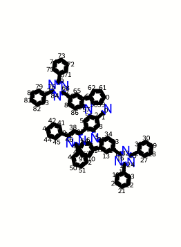 N#Cc1cc(-n2c3ccccc3c3cc(-c4nc(-c5ccccc5)nc(-c5ccccc5)n4)ccc32)c(-c2cc(-c3ccccc3)nc(-c3ccccc3)n2)cc1-n1c2ccccc2c2cc(-c3nc(-c4ccccc4)nc(-c4ccccc4)n3)ccc21